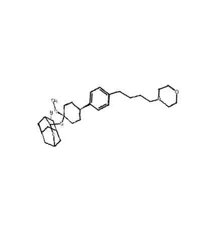 OO[C@]1(O[C@H]2CC3CC4CC(C3)CC2C4)CC[C@H](c2ccc(CCCCN3CCOCC3)cc2)CC1